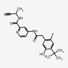 CC(C#N)NC(=O)c1cc(NC(=O)Cc2cc(O)c(C(C)(C)C)cc2F)ccn1